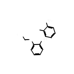 COc1ccccc1O.Oc1ccccc1OCC(F)(F)F